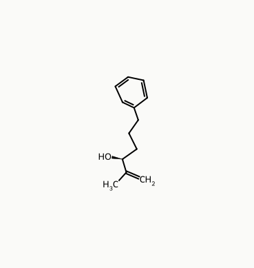 C=C(C)[C@@H](O)CCCc1ccccc1